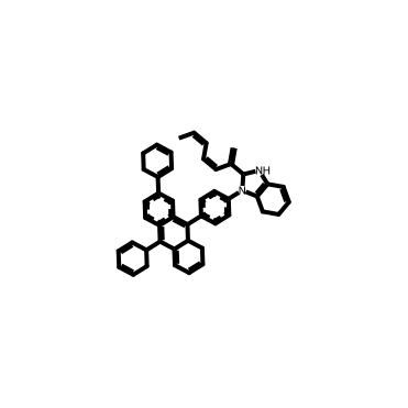 C=C(/C=C\C=C/C)C1NC2=C(CCC=C2)N1c1ccc(C2=c3cc(C4=CC=CCC4)ccc3=C(C3C=CC=CC3)C3=CC=CCC32)cc1